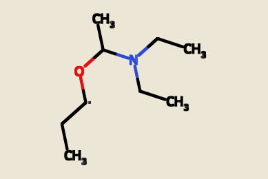 CC[CH]OC(C)N(CC)CC